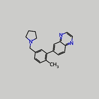 Cc1ccc(CN2CCCC2)cc1-c1ccc2nccnc2c1